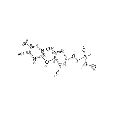 CCOP(C)(=O)COc1cc(Cl)c(Oc2ncc(Br)c(C(C)C)n2)c(Cl)c1